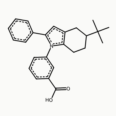 CC(C)(C)C1CCc2c(cc(-c3ccccc3)n2-c2cccc(C(=O)O)c2)C1